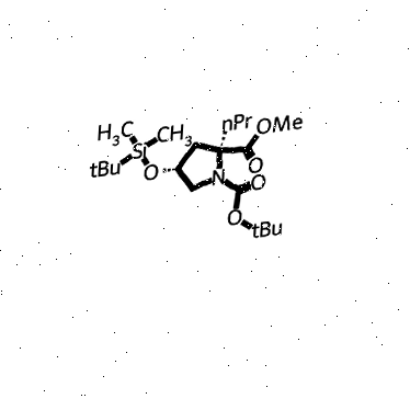 CCC[C@@]1(C(=O)OC)C[C@@H](O[Si](C)(C)C(C)(C)C)CN1C(=O)OC(C)(C)C